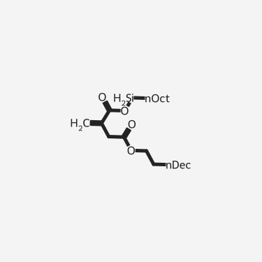 C=C(CC(=O)OCCCCCCCCCCCC)C(=O)O[SiH2]CCCCCCCC